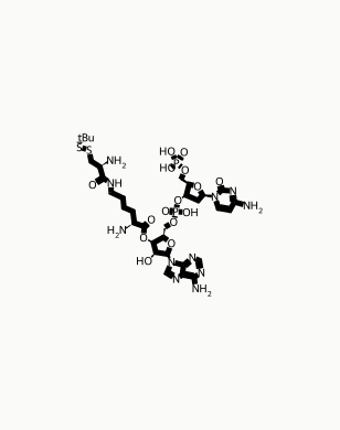 CC(C)(C)SSC[C@H](N)C(=O)NCCCC[C@@H](N)C(=O)O[C@H]1[C@@H](O)[C@H](n2cnc3c(N)ncnc32)O[C@H]1COP(=O)(O)O[C@H]1C[C@H](n2ccc(N)nc2=O)O[C@@H]1COP(=O)(O)O